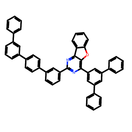 c1ccc(-c2cccc(-c3ccc(-c4cccc(-c5nc(-c6cc(-c7ccccc7)cc(-c7ccccc7)c6)c6oc7ccccc7c6n5)c4)cc3)c2)cc1